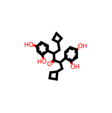 O=C(C(CC1CCC1)c1ccc(O)cc1O)C(CC1CCC1)c1ccc(O)cc1O